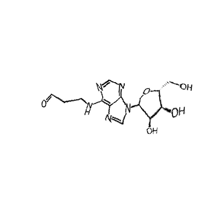 O=CCCNc1ncnc2c1ncn2C1O[C@H](CO)[C@@H](O)[C@H]1O